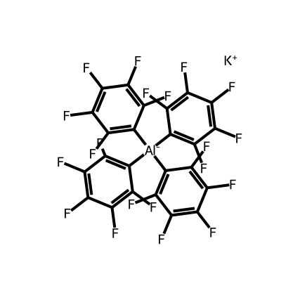 Fc1c(F)c(F)[c]([Al-]([c]2c(F)c(F)c(F)c(F)c2F)([c]2c(F)c(F)c(F)c(F)c2F)[c]2c(F)c(F)c(F)c(F)c2F)c(F)c1F.[K+]